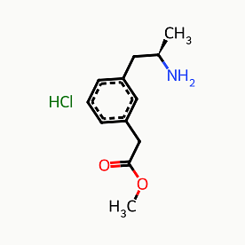 COC(=O)Cc1cccc(C[C@@H](C)N)c1.Cl